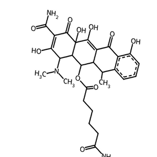 CC1c2cccc(O)c2C(=O)C2=C(O)C3(O)C(=O)C(C(N)=O)=C(O)C(N(C)C)C3C(OC(=O)CCCCC(N)=O)C21